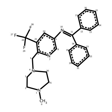 CN1CCN(Cc2ncc(N=C(c3ccccc3)c3ccccc3)cc2C(F)(F)F)CC1